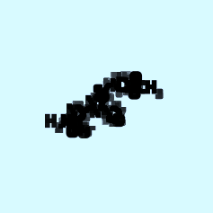 CS(=O)(=O)N1CCN(Cc2cc3c(N4CCOCC4)nc(-c4cnc(N)c([N+](=O)[O-])c4)nc3s2)CC1